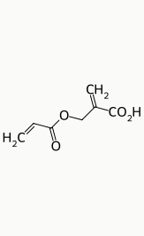 C=CC(=O)OCC(=C)C(=O)O